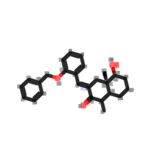 CC1C(=O)/C(=C/c2ccccc2OCc2ccccc2)C[C@@]2(C)C1CCC[C@@H]2O